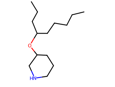 CCCCCC(CCC)OC1CCCNC1